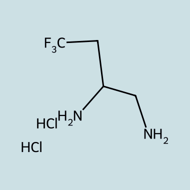 Cl.Cl.NCC(N)CC(F)(F)F